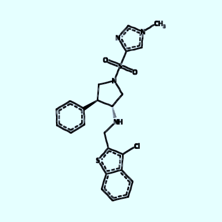 Cn1cnc(S(=O)(=O)N2C[C@H](NCc3sc4ccccc4c3Cl)[C@@H](c3ccccc3)C2)c1